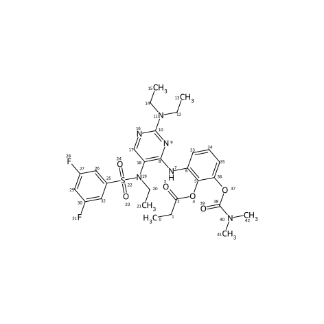 CCC(=O)Oc1c(Nc2nc(N(CC)CC)ncc2N(CC)S(=O)(=O)c2cc(F)cc(F)c2)cccc1OC(=O)N(C)C